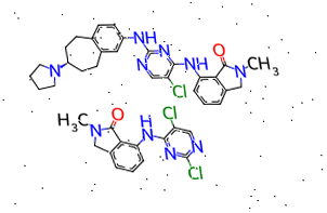 CN1Cc2cccc(Nc3nc(Cl)ncc3Cl)c2C1=O.CN1Cc2cccc(Nc3nc(Nc4ccc5c(c4)CC[C@@H](N4CCCC4)CC5)ncc3Cl)c2C1=O